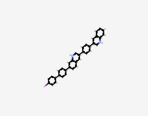 Ic1ccc(-c2ccc(-c3ccc4cc(-c5ccc(-c6cnc7ccccc7c6)cc5)cnc4c3)cc2)cc1